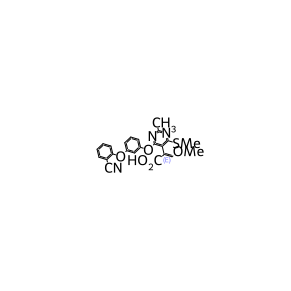 CO/C=C(/C(=O)O)c1c(Oc2cccc(Oc3ccccc3C#N)c2)nc(C)nc1SC